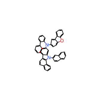 c1ccc(-c2ccccc2N(c2ccc3oc4ccccc4c3c2)c2ccc3c4ccc5ccccc5c4n(-c4ccc5ccccc5c4)c3c2)cc1